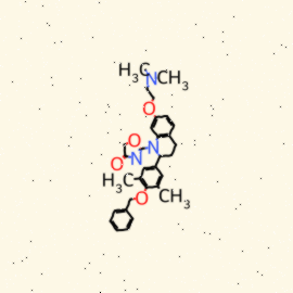 Cc1cc(C2CCc3ccc(OCCN(C)C)cc3N2C2=NC(=O)CO2)cc(C)c1OCc1ccccc1